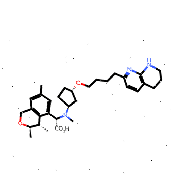 Cc1cc2c(c([C@@H](C(=O)O)N(C)[C@H]3CC[C@H](OCCCCc4ccc5c(n4)NCCC5)C3)c1)[C@H](C)[C@@H](C)OC2